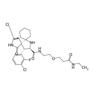 CCNC(=O)CCOCCNC(=O)[C@@H]1NC2(CCCCC2)[C@@]2(C(=O)Nc3cc(Cl)ccc32)[C@H]1c1cccc(Cl)c1F